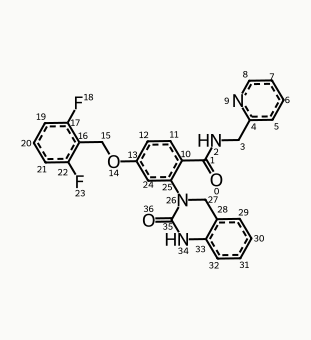 O=C(NCc1ccccn1)c1ccc(OCc2c(F)cccc2F)cc1N1Cc2ccccc2NC1=O